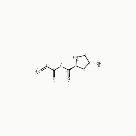 C=CC(=O)OC(=O)[C@@H]1C[C@@H](O)CN1